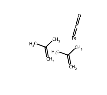 C=C(C)C.C=C(C)C.O=[C]=[Fe]